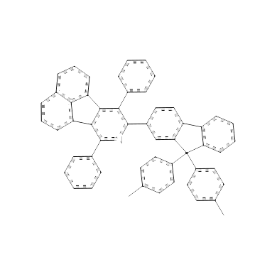 Cc1ccc(C2(c3ccc(C)cc3)c3ccccc3-c3ccc(-c4nc(-c5ccccc5)c5c(c4-c4ccccc4)-c4cccc6cccc-5c46)cc32)cc1